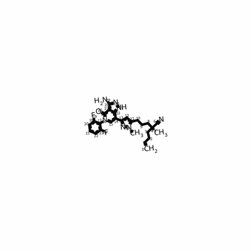 C=CCCC(C)(C#N)CCCc1cc(-c2cn(-c3c(F)cccc3F)c(=O)c3c(N)n[nH]c23)nn1C